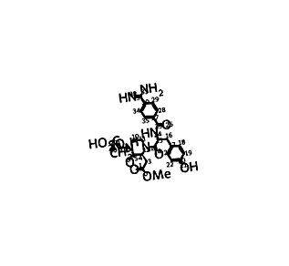 COC(=O)C[C@H]1C(=O)N(CC(=O)O)CCN1C(=O)[C@H](Cc1ccc(O)cc1)NC(=O)c1ccc(C(=N)N)cc1.CS(=O)(=O)O